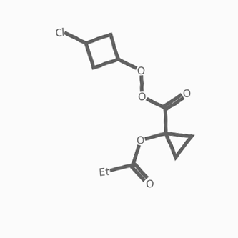 CCC(=O)OC1(C(=O)OOC2CC(Cl)C2)CC1